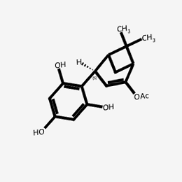 CC(=O)OC1=C[C@@H](c2c(O)cc(O)cc2O)C2CC1C2(C)C